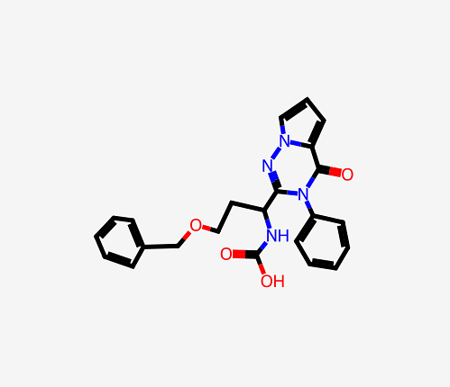 O=C(O)NC(CCOCc1ccccc1)c1nn2cccc2c(=O)n1-c1ccccc1